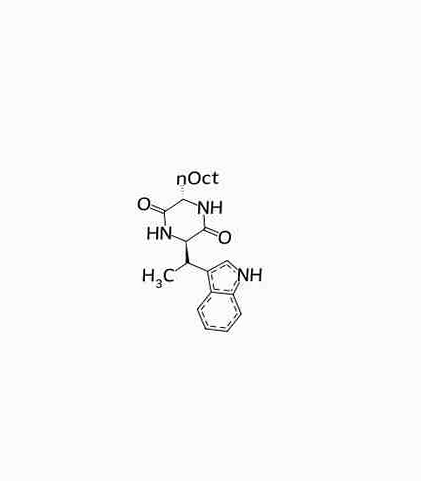 CCCCCCCC[C@@H]1NC(=O)[C@@H](C(C)c2c[nH]c3ccccc23)NC1=O